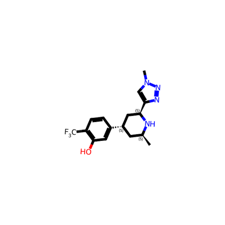 C[C@H]1C[C@H](c2ccc(C(F)(F)F)c(O)c2)C[C@@H](c2cn(C)nn2)N1